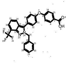 O=C(O)c1ccc(Oc2ccc(-c3c4cccc(C(F)(F)F)c4nn3Cc3ccccc3)cc2)cc1